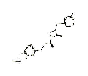 CCOC(=O)[C@@H]1[C@@H](Cc2ccnc(Cl)c2)C(=O)N1C(=O)N[C@H](C)c1ccc2c(c1)OC(F)(F)O2